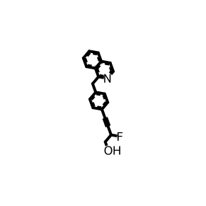 OCC(F)C#Cc1ccc(Cc2nccc3ccccc23)cc1